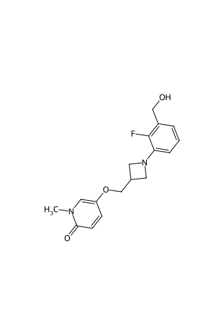 Cn1cc(OCC2CN(c3cccc(CO)c3F)C2)ccc1=O